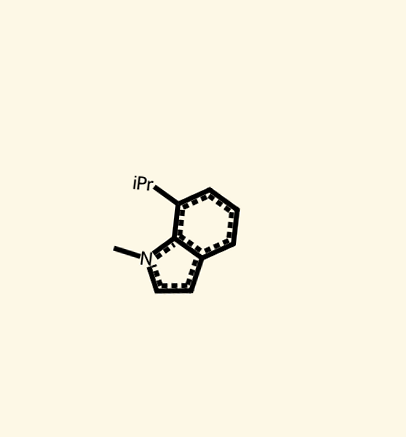 CC(C)c1cccc2ccn(C)c12